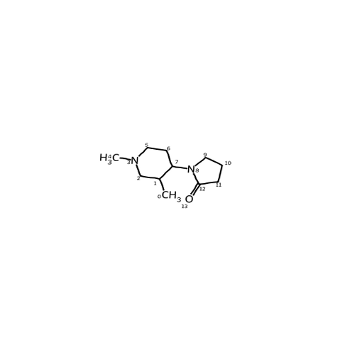 CC1CN(C)CCC1N1CCCC1=O